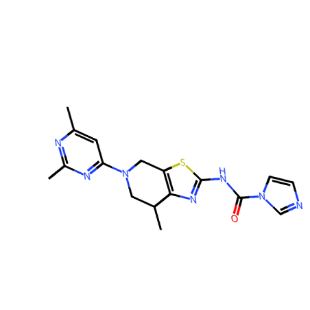 Cc1cc(N2Cc3sc(NC(=O)n4ccnc4)nc3C(C)C2)nc(C)n1